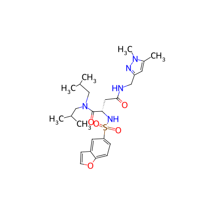 Cc1cc(CNC(=O)C[C@H](NS(=O)(=O)c2ccc3occc3c2)C(=O)N(CC(C)C)CC(C)C)nn1C